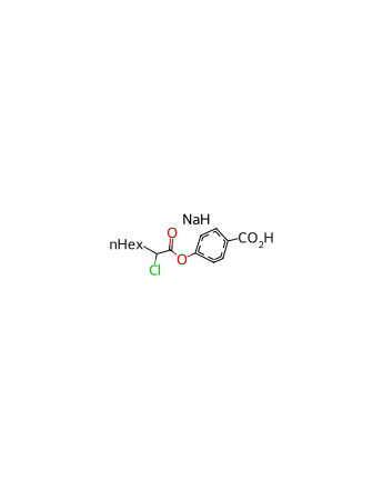 CCCCCCC(Cl)C(=O)Oc1ccc(C(=O)O)cc1.[NaH]